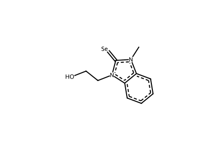 Cn1c(=[Se])n(CCO)c2ccccc21